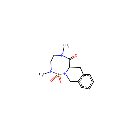 CN1CCN(C)S(=O)(=O)N2Cc3ccccc3CC2C1=O